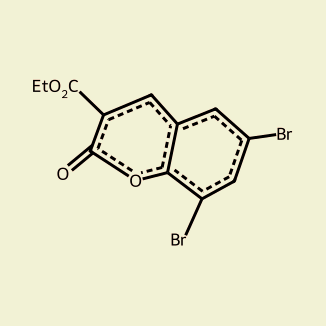 CCOC(=O)c1cc2cc(Br)cc(Br)c2oc1=O